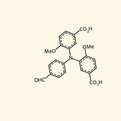 COc1ccc(C(=O)O)cc1N(c1ccc(C=O)cc1)c1cc(C(=O)O)ccc1OC